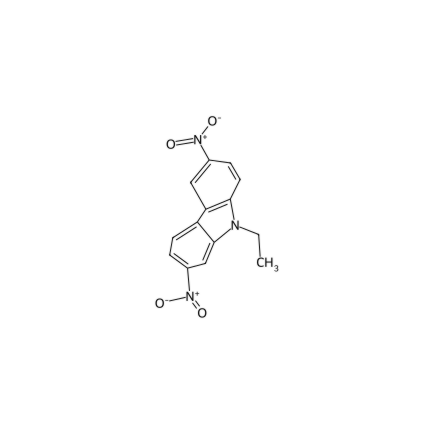 CCn1c2ccc([N+](=O)[O-])cc2c2ccc([N+](=O)[O-])cc21